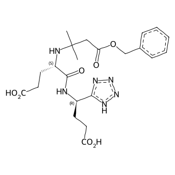 CC(C)(CC(=O)OCc1ccccc1)N[C@@H](CCC(=O)O)C(=O)N[C@H](CCC(=O)O)c1nnn[nH]1